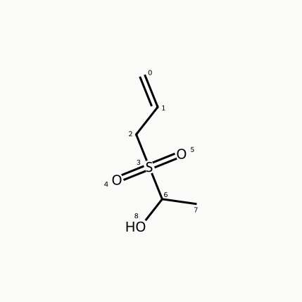 C=CCS(=O)(=O)C(C)O